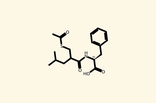 CC(=O)SCC(CC(C)C)C(=O)N[C@@H](Cc1ccccc1)C(=O)O